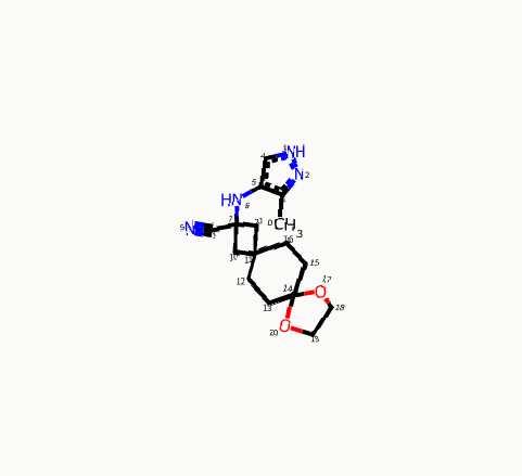 Cc1n[nH]cc1NC1(C#N)CC2(CCC3(CC2)OCCO3)C1